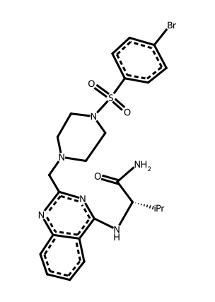 CC(C)[C@H](Nc1nc(CN2CCN(S(=O)(=O)c3ccc(Br)cc3)CC2)nc2ccccc12)C(N)=O